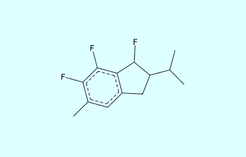 Cc1cc2c(c(F)c1F)C(F)C(C(C)C)C2